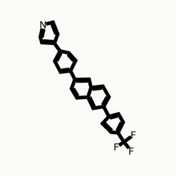 FC(F)(F)c1ccc(-c2ccc3cc(-c4ccc(-c5ccncc5)cc4)ccc3c2)cc1